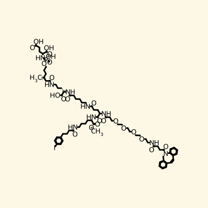 COC(=O)C(CCCCNC(=O)CCCc1ccc(I)cc1)NC(=O)C(CCC(=O)NCCCCCC(=O)N[C@@H](CCCNC(=O)C[C@H](C)CCCOP(=O)(O)NC(CCC(=O)O)C(=O)O)C(=O)O)NC(=O)CCOCCOCCOCCOCCNC(=O)CCC(=O)N1Cc2ccccc2C#Cc2ccccc21